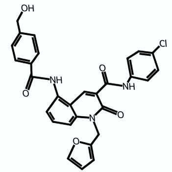 O=C(Nc1cccc2c1cc(C(=O)Nc1ccc(Cl)cc1)c(=O)n2Cc1ccco1)c1ccc(CO)cc1